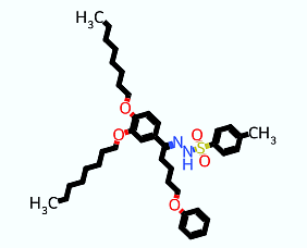 CCCCCCCCOc1ccc(C(CCCCOc2ccccc2)=NNS(=O)(=O)c2ccc(C)cc2)cc1OCCCCCCCC